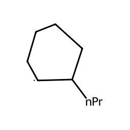 [CH2]CCC1[CH]CCCC1